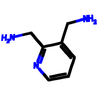 NCc1cccnc1CN